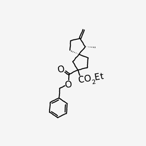 C=C1CC[C@@]2(CCC(C(=O)OCC)(C(=O)OCc3ccccc3)C2)[C@H]1C